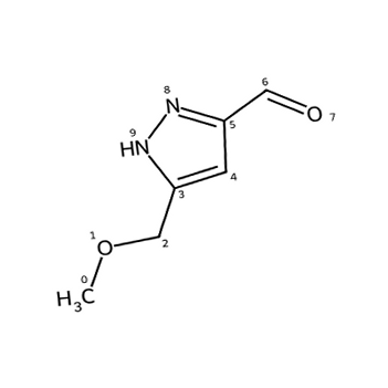 COCc1cc(C=O)n[nH]1